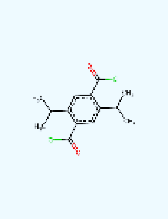 CC(C)c1cc(C(=O)Cl)c(C(C)C)cc1C(=O)Cl